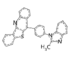 Cc1nc2ccccc2n1-c1ccc(-c2c3ccccc3nc3c2sc2ccccc23)cc1